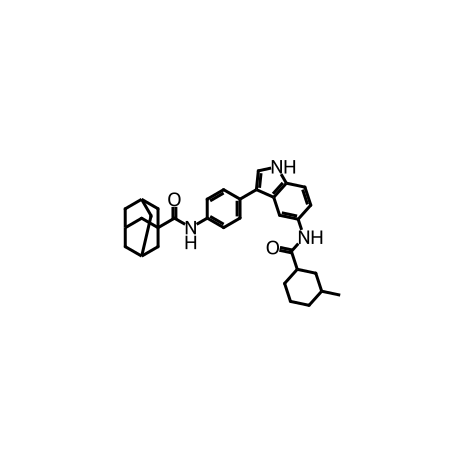 CC1CCCC(C(=O)Nc2ccc3[nH]cc(-c4ccc(NC(=O)C56CC7CC(CC(C7)C5)C6)cc4)c3c2)C1